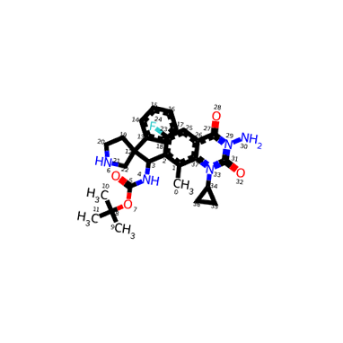 Cc1c(C(NC(=O)OC(C)(C)C)C2(c3ccccc3)CCNC2)c(F)cc2c(=O)n(N)c(=O)n(C3CC3)c12